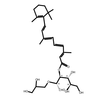 CC(C=CC1=C(C)CCCC1(C)C)=CC=CC(C)=CC(=O)O[C@@H]([C@H](O)[C@H](O)CO)[C@H](C=O)OCC(O)CO